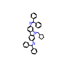 c1ccc(C(=Nc2ccc3c4ccc(N=C(c5ccccc5)c5ccccc5)cc4n(CC4CCCC4)c3c2)c2ccccc2)cc1